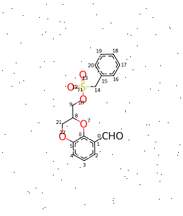 O=Cc1cccc2c1OC(COS(=O)(=O)Cc1ccccc1)CO2